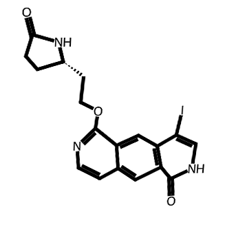 O=C1CC[C@@H](CCOc2nccc3cc4c(=O)[nH]cc(I)c4cc23)N1